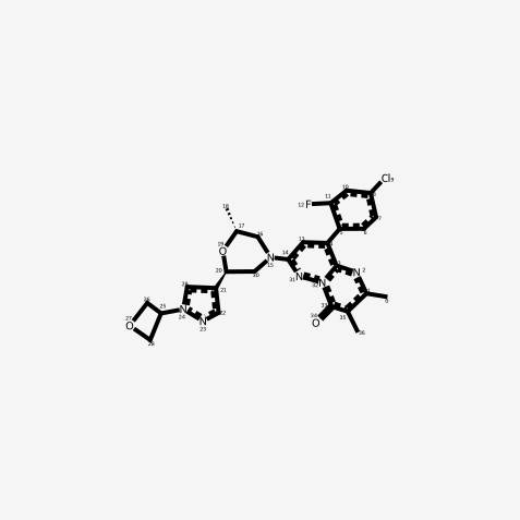 Cc1nc2c(-c3ccc(Cl)cc3F)cc(N3C[C@@H](C)O[C@H](c4cnn(C5COC5)c4)C3)nn2c(=O)c1C